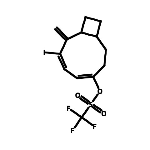 C=C1/C(I)=C\C=C(\OS(=O)(=O)C(F)(F)F)CCC2CCC12